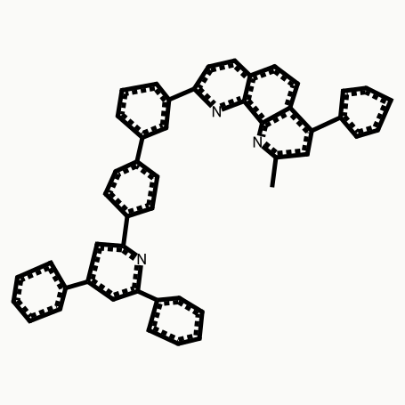 Cc1cc(-c2ccccc2)c2ccc3ccc(-c4cccc(-c5ccc(-c6cc(-c7ccccc7)cc(-c7ccccc7)n6)cc5)c4)nc3c2n1